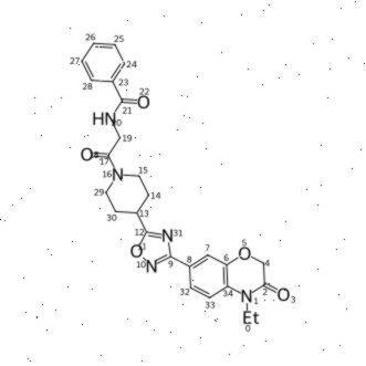 CCN1C(=O)COc2cc(-c3noc(C4CCN(C(=O)CNC(=O)c5ccccc5)CC4)n3)ccc21